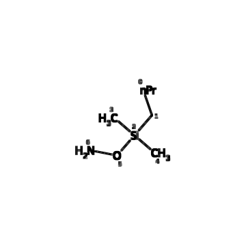 CCCC[Si](C)(C)ON